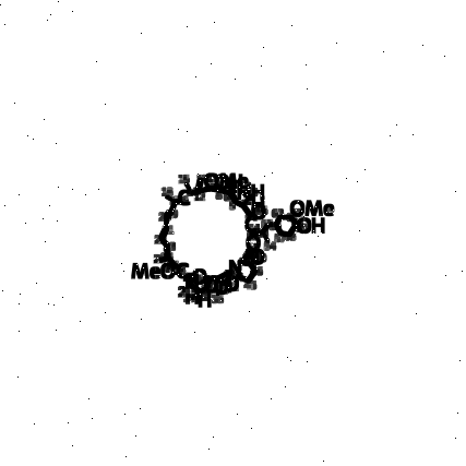 [2H]C([2H])([2H])[C@@H]1/C=C(\C)[C@@H](O)[C@@H](OC)C(=C)[C@H](C)C[C@H](C)/C=C/C=C/C=C(\C)[C@@H](OC)C[C@@H]2CC([2H])([2H])[C@@H](C)[C@@](O)(O2)C(=O)C(=O)N2CCCC[C@H]2C(=O)O[C@H]([C@H](C)C[C@@H]2CC[C@@H](O)[C@H](OC)C2)CC1=O